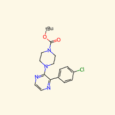 CC(C)(C)OC(=O)N1CCN(c2nccnc2-c2ccc(Cl)cc2)CC1